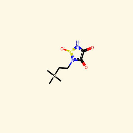 C[Si](C)(C)CCn1c(=O)c(=O)[nH][s+]1[O-]